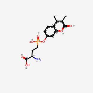 Cc1c(C)c2ccc(OP(=O)(O)CCC(N)C(=O)O)cc2oc1=O